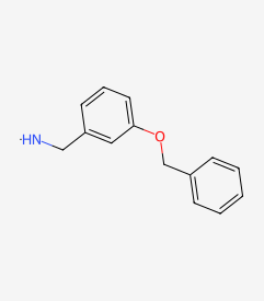 [NH]Cc1cccc(OCc2ccccc2)c1